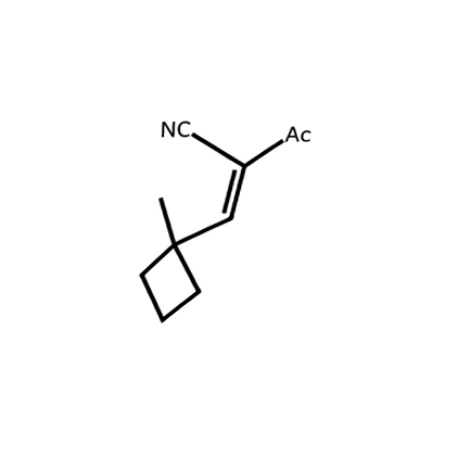 CC(=O)/C(C#N)=C/C1(C)CCC1